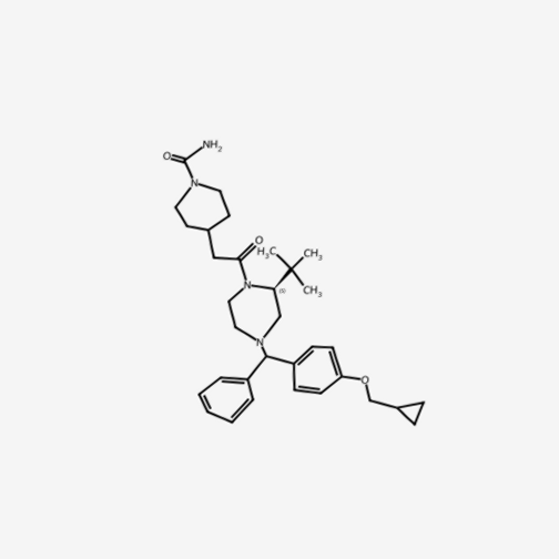 CC(C)(C)[C@H]1CN(C(c2ccccc2)c2ccc(OCC3CC3)cc2)CCN1C(=O)CC1CCN(C(N)=O)CC1